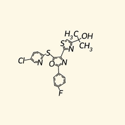 CC(C)(O)c1csc(-c2nc(-c3ccc(F)cc3)oc2Sc2ccc(Cl)cn2)n1